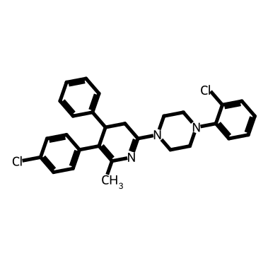 CC1=C(c2ccc(Cl)cc2)C(c2ccccc2)CC(N2CCN(c3ccccc3Cl)CC2)=N1